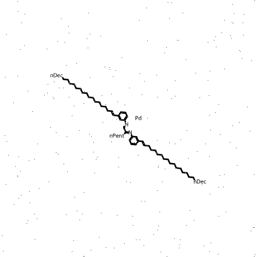 CCCCCCCCCCCCCCCCCCCCCCCCCC=Cc1cccc(N=CC(CCCCC)=Nc2cccc(C=CCCCCCCCCCCCCCCCCCCCCCCCCC)c2)c1.[Pd]